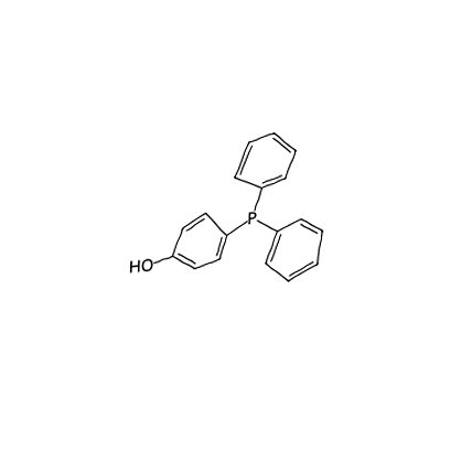 Oc1ccc(P(c2ccccc2)c2ccccc2)cc1